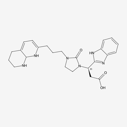 O=C(O)C[C@H](c1nc2ccccc2[nH]1)N1CCN(CCCC2=CC=C3CCCNC3N2)C1=O